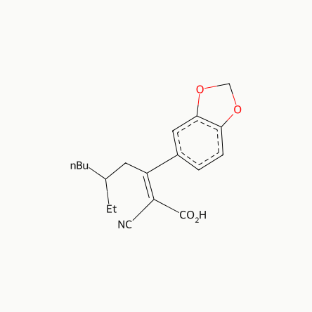 CCCCC(CC)CC(=C(C#N)C(=O)O)c1ccc2c(c1)OCO2